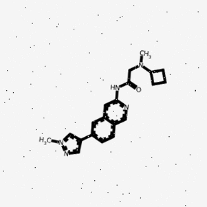 CN(CC(=O)Nc1cc2cc(-c3cnn(C)c3)ccc2cn1)C1CCC1